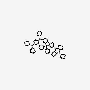 c1ccc(-c2c3ccccc3c(-c3ccc4c(c3)C(c3ccccc3)(c3ccccc3)c3cc(N(c5ccccc5)c5ccc(N(c6ccccc6)c6ccccc6)cc5)ccc3-4)c3ccccc23)cc1